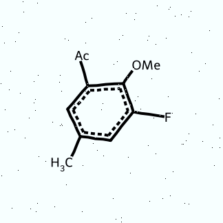 COc1c(F)cc(C)cc1C(C)=O